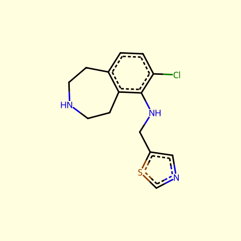 Clc1ccc2c(c1NCc1cncs1)CCNCC2